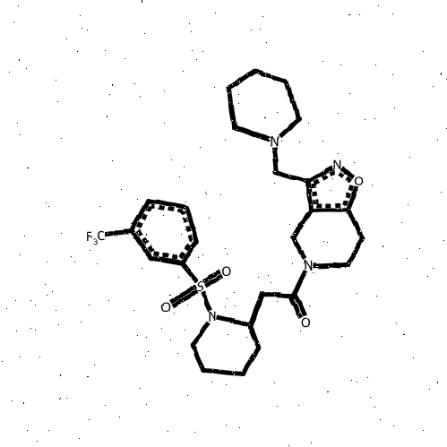 O=C(CC1CCCCN1S(=O)(=O)c1cccc(C(F)(F)F)c1)N1CCc2onc(CN3CCCCC3)c2C1